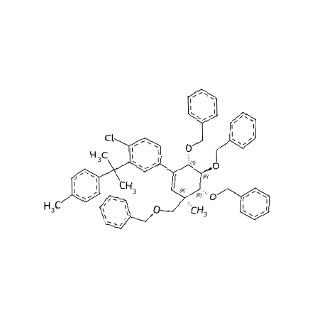 Cc1ccc(C(C)(C)c2cc(C3=C[C@](C)(COCc4ccccc4)[C@@H](OCc4ccccc4)[C@H](OCc4ccccc4)[C@H]3OCc3ccccc3)ccc2Cl)cc1